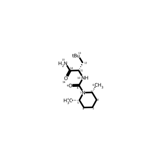 C[C@@H]1CCC[C@H](C)N1C(=O)N[C@@H](CC(C)(C)C)C(N)=O